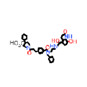 O=C(CCc1ccc(C(=O)N(CCCNC[C@H](O)c2ccc(O)c3[nH]c(=O)ccc23)Cc2ccccc2)cc1)N1CCC(C(=O)O)(c2ccccc2)CC1